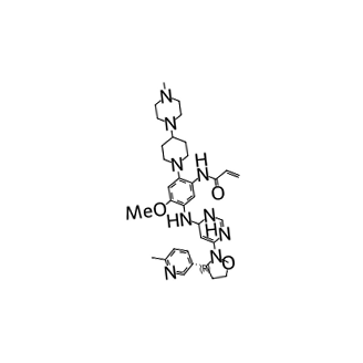 C=CC(=O)Nc1cc(NC2C=C(N3OCC[C@@H]3c3ccc(C)nc3)N=CN2)c(OC)cc1N1CCC(N2CCN(C)CC2)CC1